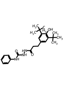 CC(C)(C)c1cc(CCC(=O)NNC(=O)Nc2ccccc2)cc(C(C)(C)C)c1O